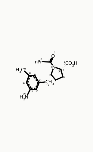 CCCC(=O)N1CCC[C@H]1C(=O)O.Cc1cc(C)cc(N)c1